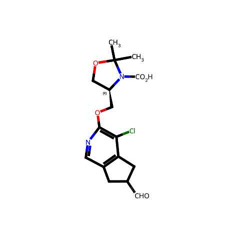 CC1(C)OC[C@H](COc2ncc3c(c2Cl)CC(C=O)C3)N1C(=O)O